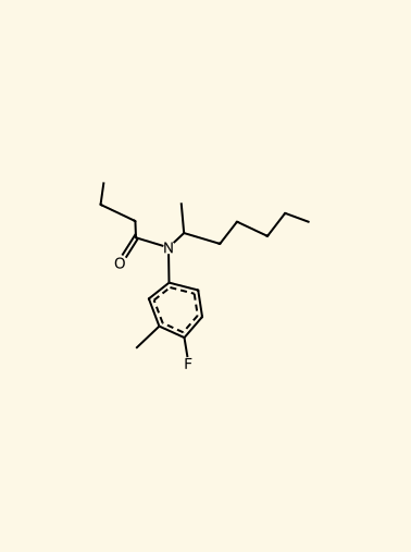 CCCCCC(C)N(C(=O)CCC)c1ccc(F)c(C)c1